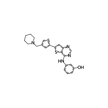 Oc1cccc(Nc2ncnc3cc(-c4cc(CN5CCCCC5)cs4)sc23)c1